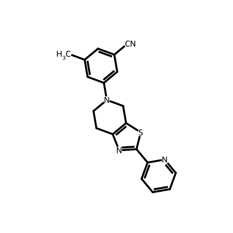 Cc1cc(C#N)cc(N2CCc3nc(-c4ccccn4)sc3C2)c1